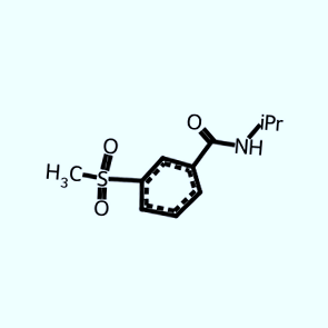 CC(C)NC(=O)c1cccc(S(C)(=O)=O)c1